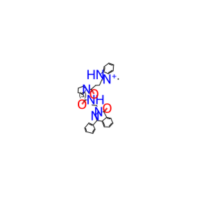 O=C(NCCn1nc(-c2ccccc2)c2ccccc2c1=O)[C@@H]1CCCN1C(=O)CCC1=[N+]c2ccccc2N1